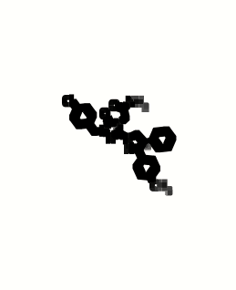 Cc1ccc(C2=NN(c3nn(Cc4ccc(Cl)cc4)c(=O)n3CC(N)=O)C[C@H]2c2ccccc2)cc1